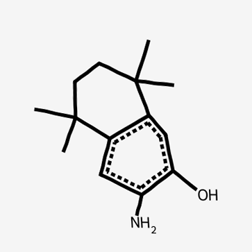 CC1(C)CCC(C)(C)c2cc(O)c(N)cc21